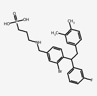 Cc1ccc(CC(c2cccc(F)c2)c2ccc(CNCCCP(=O)(O)O)cc2Br)cc1C